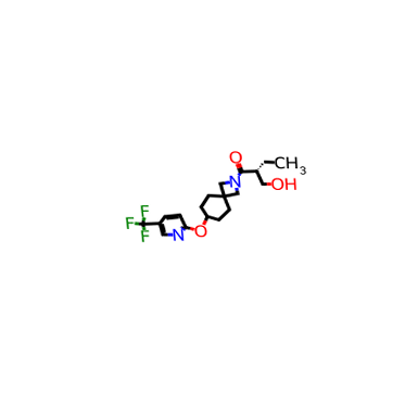 CC[C@H](CO)C(=O)N1CC2(CCC(Oc3ccc(C(F)(F)F)cn3)CC2)C1